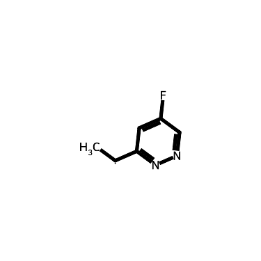 C[CH]c1cc(F)cnn1